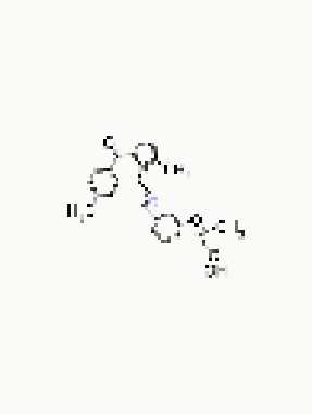 Cc1ccc(C(=O)c2ccc(C)n2C/C=C/c2cccc(O[C@@H](C)COO)c2)cc1